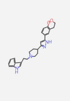 c1ccc2c(CCN3CCC(c4cc(-c5ccc6c(c5)CCOO6)[nH]n4)CC3)c[nH]c2c1